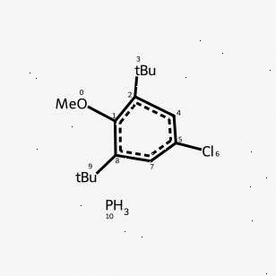 COc1c(C(C)(C)C)cc(Cl)cc1C(C)(C)C.P